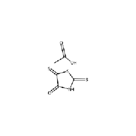 CC(=O)O.O=C1NC(=S)SC1=S